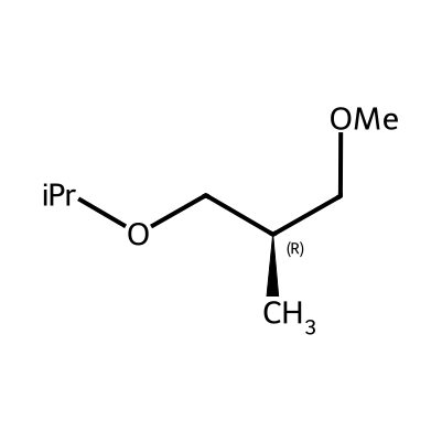 COC[C@@H](C)COC(C)C